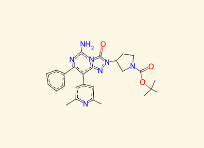 Cc1cc(-c2c(-c3ccccc3)nc(N)n3c(=O)n(C4CCN(C(=O)OC(C)(C)C)C4)nc23)cc(C)n1